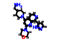 NCC1CCN(c2cc(N3CCOCC3)nc3c(-c4ccn[nH]4)nccc23)CC1